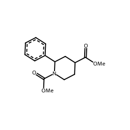 COC(=O)C1CCN(C(=O)OC)C(c2ccccc2)C1